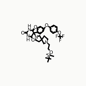 CC(C)(C)[Si](C)(C)OCCN1CCC2(CCN(C3(c4ccc(Oc5ccc(OC(F)(F)F)cc5)cc4)C(=O)NC(=O)NC3=O)C2)C1